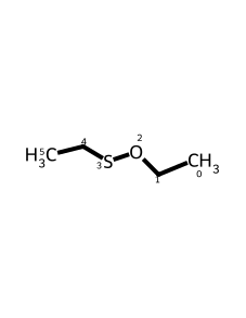 CCOSCC